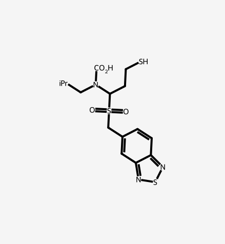 CC(C)CN(C(=O)O)C(CCS)S(=O)(=O)Cc1ccc2nsnc2c1